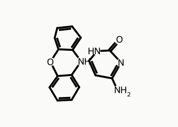 Nc1cc[nH]c(=O)n1.c1ccc2c(c1)Nc1ccccc1O2